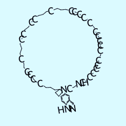 c1cc2[nH]ncc2cc1N1CCNCCCCCCCCCCCCCCCCCCCCCCCCCCCCCCCCCCCCCCCCCCCCCCCC12CCC2